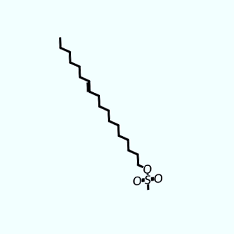 CCCCCC/C=C/CCCCCCCCCCOS(C)(=O)=O